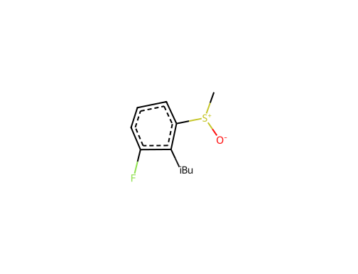 CCC(C)c1c(F)cccc1[S+](C)[O-]